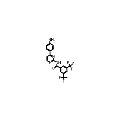 Nc1ccc(-c2ccnc(NC(=O)c3cc(C(F)(F)F)cc(C(F)(F)F)c3)n2)cc1